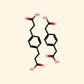 O=C(O)CCc1ccc(CCC(=O)O)cc1.O=C(O)Cc1ccc(CC(=O)O)cc1